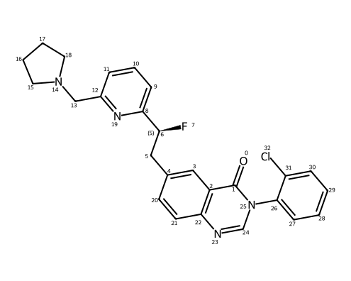 O=c1c2cc(C[C@H](F)c3cccc(CN4CCCC4)n3)ccc2ncn1-c1ccccc1Cl